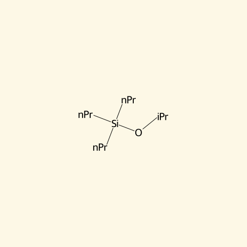 [CH2]C(C)O[Si](CCC)(CCC)CCC